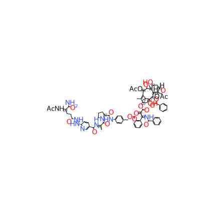 CC(=O)N[C@@H](CCC(=O)NNc1ccc(C(=O)N[C@H](C)C(=O)N2CCC[C@H]2C(=O)Nc2ccc(COC(=O)O[C@@H](C(=O)O[C@H]3C[C@@]4(O)[C@@H](OC(=O)c5ccccc5)[C@@H]5[C@]6(OC(C)=O)CO[C@@H]6C[C@H](O)[C@@]5(C)C(=O)[C@H](OC(C)=O)C(=C3C)C4(C)C)[C@@H](NC(=O)c3ccccc3)c3ccccc3)cc2)cn1)C(N)=O